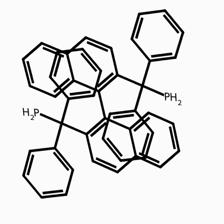 PC(c1ccccc1)(c1ccccc1)c1ccc2ccccc2c1-c1c(C(P)(c2ccccc2)c2ccccc2)ccc2ccccc12